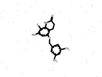 Cc1cc(C)cc(COc2cc(O)c(F)c3c2CCC(=O)N3)c1